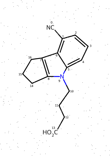 N#Cc1cccc2c1c1c(n2CCCC(=O)O)CCC1